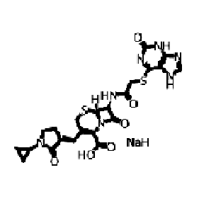 O=C(CSc1nc(=O)[nH]c2nc[nH]c12)N[C@@H]1C(=O)N2C(C(=O)O)=C(/C=C3\CCN(C4CC4)C3=O)CS[C@H]12.[NaH]